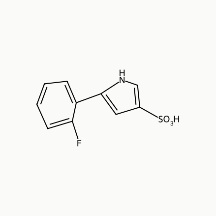 O=S(=O)(O)c1c[nH]c(-c2ccccc2F)c1